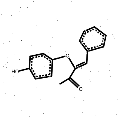 CC(=O)C(=Cc1ccccc1)Oc1ccc(O)cc1